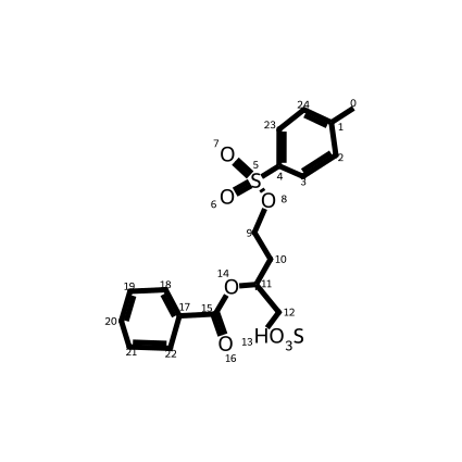 Cc1ccc(S(=O)(=O)OCC[C](CS(=O)(=O)O)OC(=O)c2ccccc2)cc1